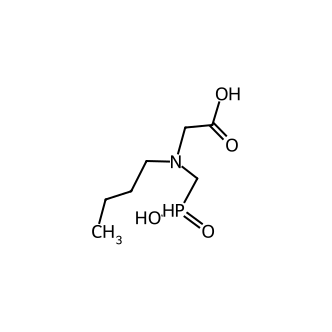 CCCCN(CC(=O)O)C[PH](=O)O